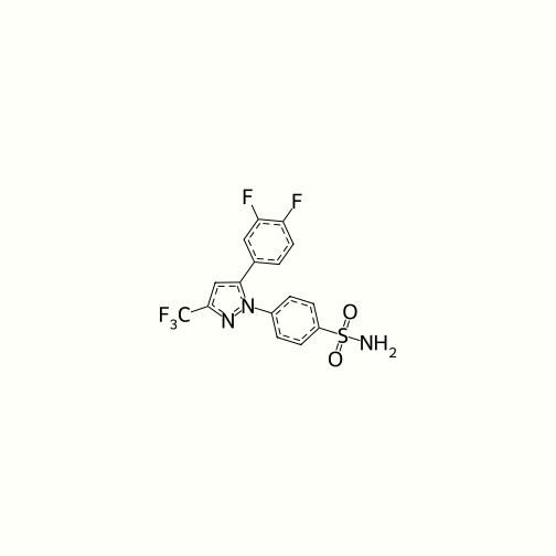 NS(=O)(=O)c1ccc(-n2nc(C(F)(F)F)cc2-c2ccc(F)c(F)c2)cc1